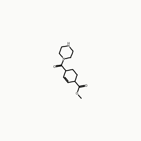 COC(=O)C1C=CC(C(=O)N2CCNCC2)CC1